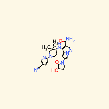 CC1(C)CN(c2ccc(C#N)cn2)CCC1Nc1c(C(N)=O)cnn2cc(N3CCC(O)C3=O)cc12